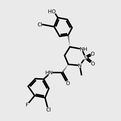 CN1[C@H](C(=O)Nc2ccc(F)c(Cl)c2)C[C@H](c2ccc(O)c(Cl)c2)NS1(=O)=O